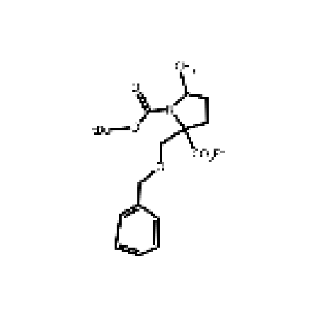 CCOC(=O)C1(COCc2ccccc2)CCC(C)N1C(=O)OC(C)(C)C